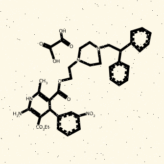 CCOC(=O)C1=C(N)NC(C)=C(C(=O)OCCN2CCN(CC(c3ccccc3)c3ccccc3)CC2)C1c1cccc([N+](=O)[O-])c1.O=C(O)C(=O)O